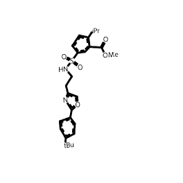 COC(=O)c1cc(S(=O)(=O)NCCc2coc(-c3ccc(C(C)(C)C)cc3)n2)ccc1C(C)C